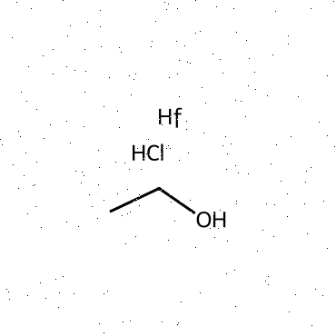 CCO.Cl.[Hf]